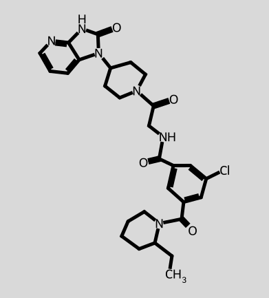 CCC1CCCCN1C(=O)c1cc(Cl)cc(C(=O)NCC(=O)N2CCC(n3c(=O)[nH]c4ncccc43)CC2)c1